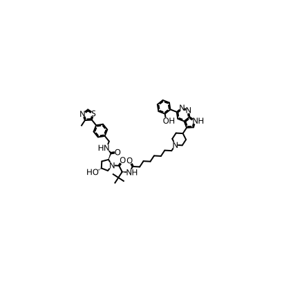 Cc1ncsc1-c1ccc(CNC(=O)[C@@H]2C[C@@H](O)CN2C(=O)[C@@H](NC(=O)CCCCCCCN2CCC(c3c[nH]c4nnc(-c5ccccc5O)cc34)CC2)C(C)(C)C)cc1